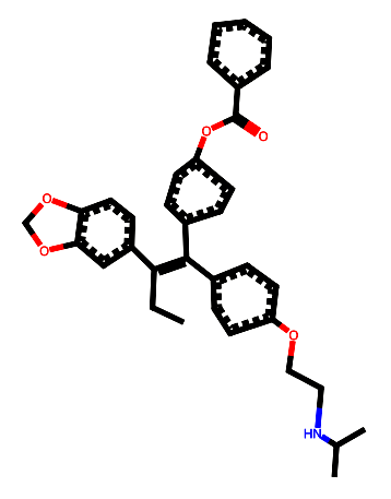 CCC(=C(c1ccc(OCCNC(C)C)cc1)c1ccc(OC(=O)c2ccccc2)cc1)c1ccc2c(c1)OCO2